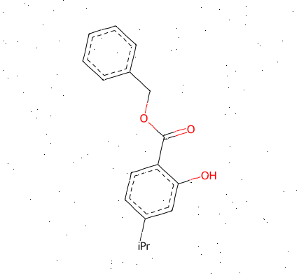 CC(C)c1ccc(C(=O)OCc2ccccc2)c(O)c1